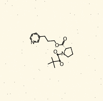 CC(C)(C)C(=O)C(=O)N1CCC[C@H]1C(=O)OCCCc1cccnc1